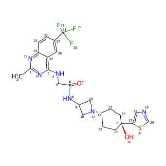 Cc1nc(NCC(=O)NC2CN([C@H]3CC[C@@](O)(c4cncs4)CC3)C2)c2cc(C(F)(F)F)ccc2n1